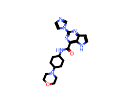 O=C(NC1CCC(N2CCOCC2)CC1)c1nc(-n2ccnc2)nc2cc[nH]c12